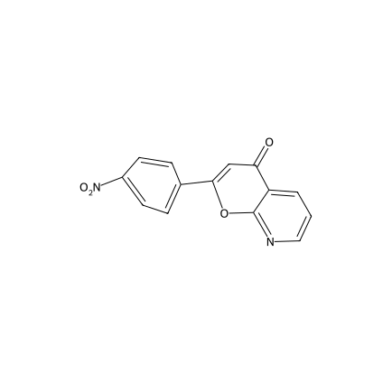 O=c1cc(-c2ccc([N+](=O)[O-])cc2)oc2ncccc12